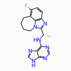 C[C@H](Nc1ncnc2[nH]cnc12)c1nc2ccc(F)c3c2n1CCCC3